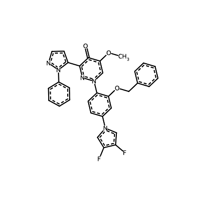 COc1cn(-c2ccc(-n3cc(F)c(F)c3)cc2OCc2ccccc2)nc(-c2ccnn2-c2ccccc2)c1=O